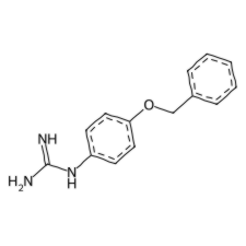 N=C(N)Nc1ccc(OCc2ccccc2)cc1